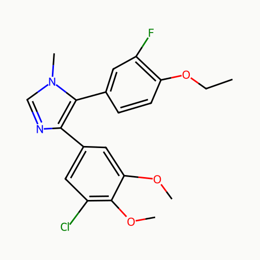 CCOc1ccc(-c2c(-c3cc(Cl)c(OC)c(OC)c3)ncn2C)cc1F